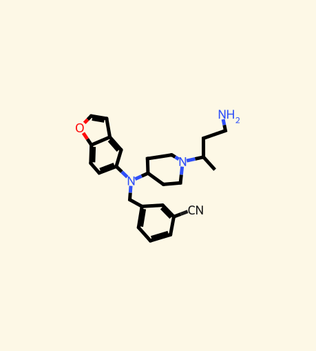 CC(CCN)N1CCC(N(Cc2cccc(C#N)c2)c2ccc3occc3c2)CC1